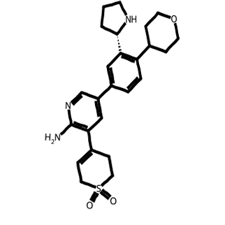 Nc1ncc(-c2ccc(C3CCOCC3)c([C@@H]3CCCN3)c2)cc1C1=CCS(=O)(=O)CC1